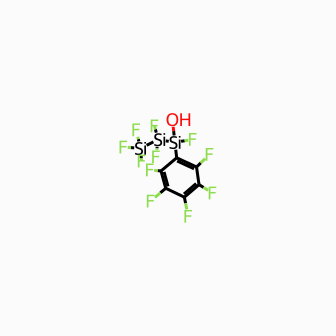 O[Si](F)(c1c(F)c(F)c(F)c(F)c1F)[Si](F)(F)[Si](F)(F)F